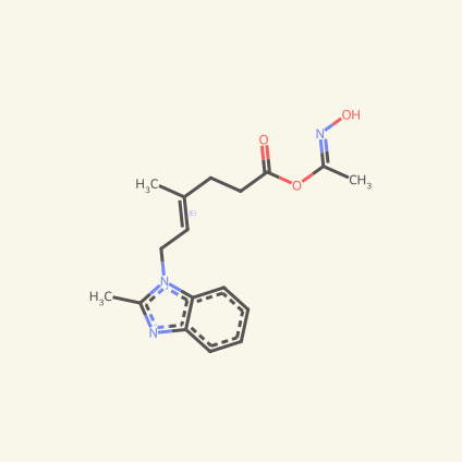 CC(=NO)OC(=O)CC/C(C)=C/Cn1c(C)nc2ccccc21